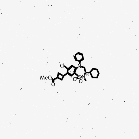 COC(=O)C1CC(c2cc3c(cc2Cl)N(c2ccccc2)C[C@@H](C2CCCCC2)N(C)S3(=O)=O)C1